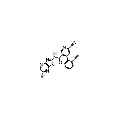 C#Cc1ccccc1-c1cc(C#N)ncc1C(=O)Nc1nc2ncc(Br)nc2s1